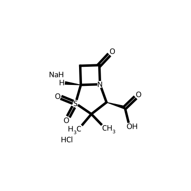 CC1(C)[C@H](C(=O)O)N2C(=O)C[C@H]2S1(=O)=O.Cl.[NaH]